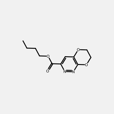 CCCCOC(=O)c1cc2c(nn1)OCCO2